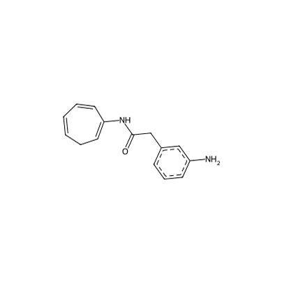 Nc1cccc(CC(=O)NC2=CCC=CC=C2)c1